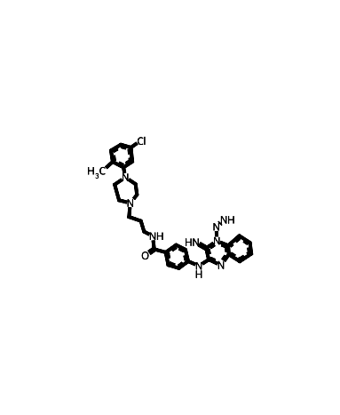 Cc1ccc(Cl)cc1N1CCN(CCCNC(=O)c2ccc(Nc3nc4ccccc4n(N=N)c3=N)cc2)CC1